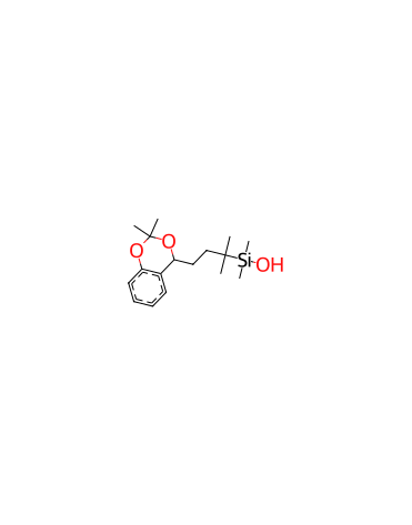 CC1(C)Oc2ccccc2C(CCC(C)(C)[Si](C)(C)O)O1